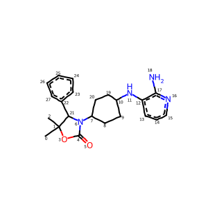 CC1(C)OC(=O)N(C2CCC(Nc3cccnc3N)CC2)C1c1ccccc1